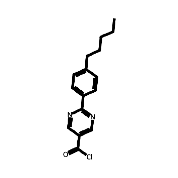 CCCCCc1ccc(-c2ncc(C(=O)Cl)cn2)cc1